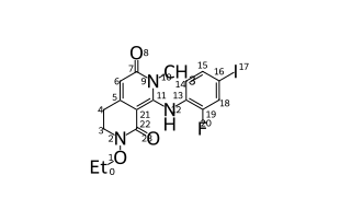 CCON1CCc2cc(=O)n(C)c(Nc3ccc(I)cc3F)c2C1=O